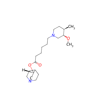 CO[C@H]1CN(CCCCCC(=O)O[C@H]2CN3CCC2CC3)CC[C@H]1C